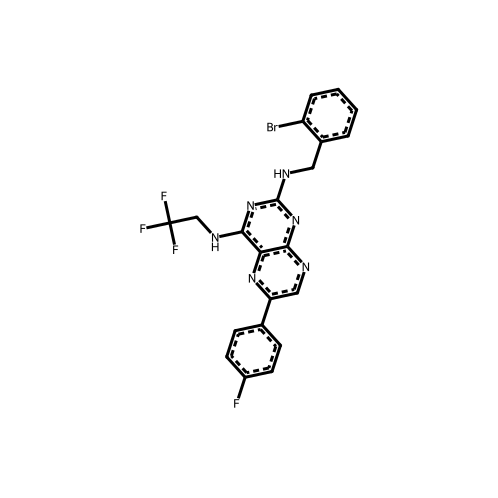 Fc1ccc(-c2cnc3nc(NCc4ccccc4Br)nc(NCC(F)(F)F)c3n2)cc1